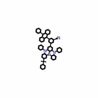 CC(C)(c1ccccc1)c1ccc2c(c1)B1c3ccccc3N(c3ccccc3)c3cc(-c4cc(C#N)cc(-c5c6ccccc6c(-c6ccccc6)c6ccccc56)c4)cc(c31)N2c1ccccc1